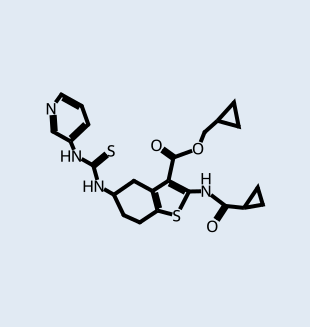 O=C(OCC1CC1)c1c(NC(=O)C2CC2)sc2c1CC(NC(=S)Nc1cccnc1)CC2